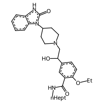 CCCCCCCNC(=O)c1cc(C(O)CN2CCC(n3c(=O)[nH]c4ccccc43)CC2)ccc1OCC